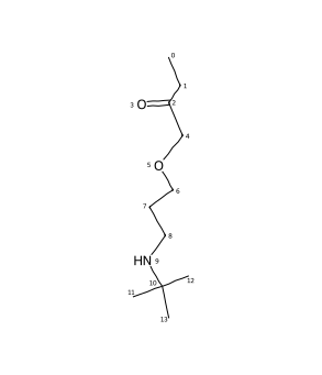 CCC(=O)COCCCNC(C)(C)C